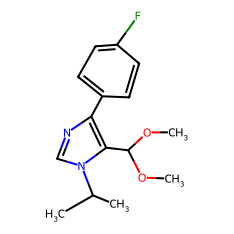 COC(OC)c1c(-c2ccc(F)cc2)ncn1C(C)C